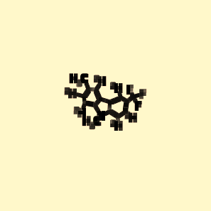 [2H]c1c(C)c([2H])c2c3c([2H])c(C(F)(F)F)c([2H])c([2H])c3n(C)c2c1[2H]